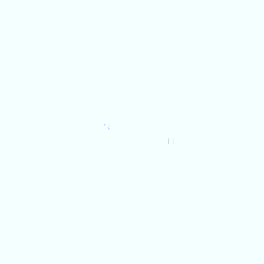 CCC#CCN(O)O